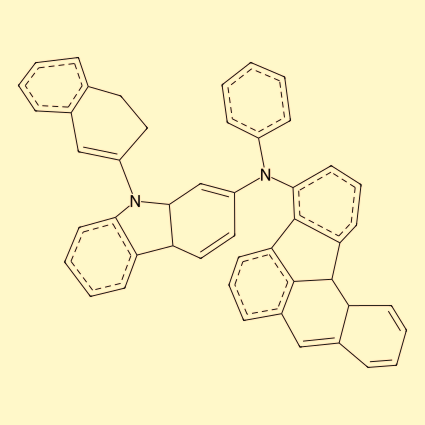 C1=CC2=Cc3cccc4c3C(c3cccc(N(C5=CC6C(C=C5)c5ccccc5N6C5=Cc6ccccc6CC5)c5ccccc5)c3-4)C2C=C1